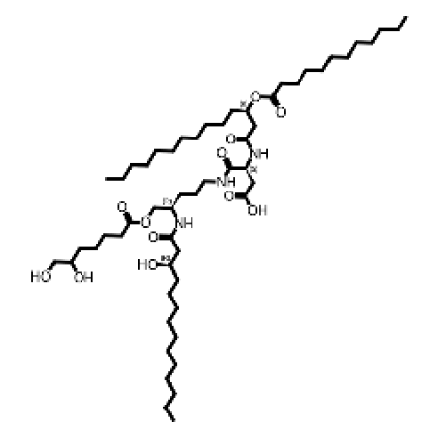 CCCCCCCCCCCC(=O)O[C@H](CCCCCCCCCCC)CC(=O)N[C@@H](CC(=O)O)C(=O)NCCC[C@H](COC(=O)CCCCC(O)CO)NC(=O)C[C@H](O)CCCCCCCCCCC